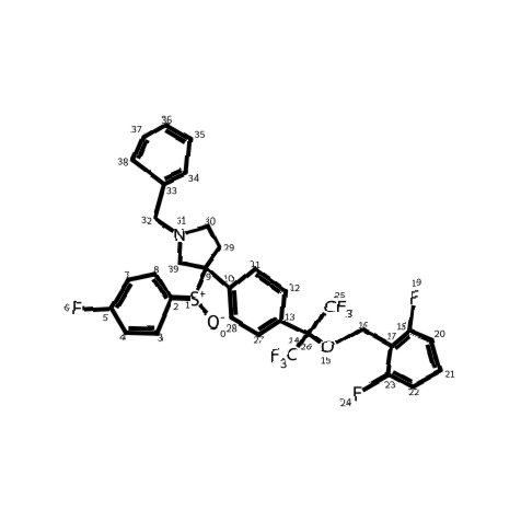 [O-][S+](c1ccc(F)cc1)C1(c2ccc(C(OCc3c(F)cccc3F)(C(F)(F)F)C(F)(F)F)cc2)CCN(Cc2ccccc2)C1